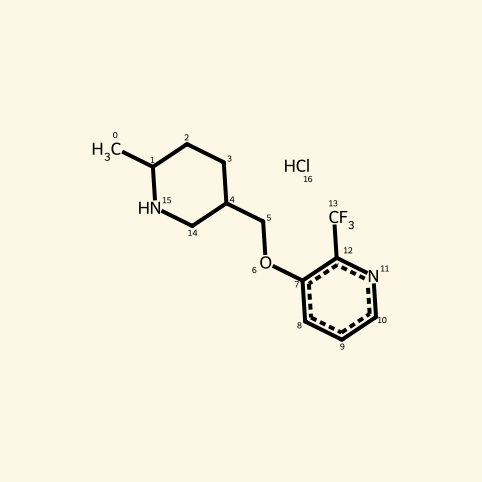 CC1CCC(COc2cccnc2C(F)(F)F)CN1.Cl